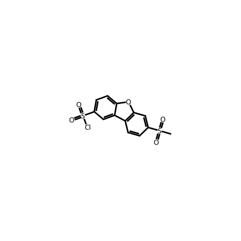 CS(=O)(=O)c1ccc2c(c1)oc1ccc(S(=O)(=O)Cl)cc12